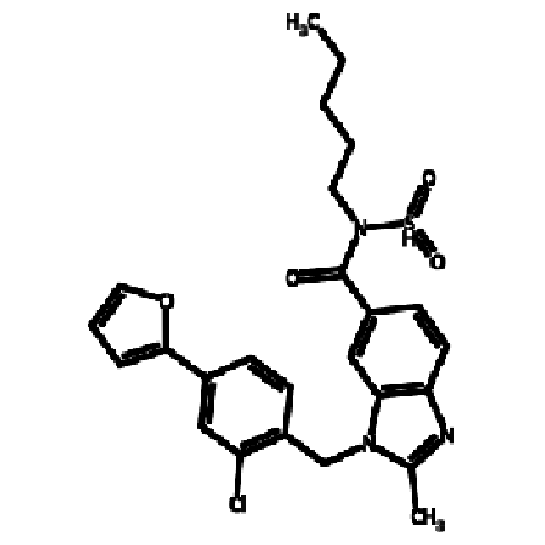 CCCCCN(C(=O)c1ccc2nc(C)n(Cc3ccc(-c4ccco4)cc3Cl)c2c1)[SH](=O)=O